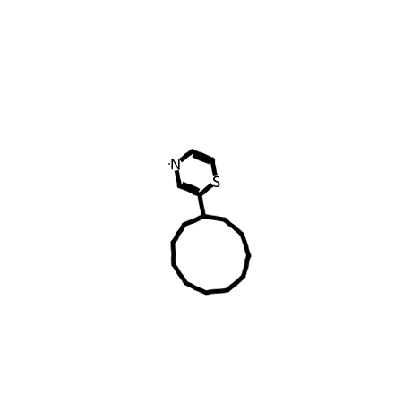 C1=CSC(C2CCCCCCCCCC2)=C[N]1